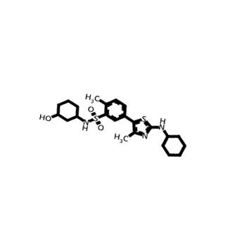 Cc1ccc(-c2sc(NC3CCCCC3)nc2C)cc1S(=O)(=O)NC1CCCC(O)C1